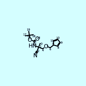 CC(C#N)(COCC1C=CC=C1)NC(=O)OC(C)(C)C